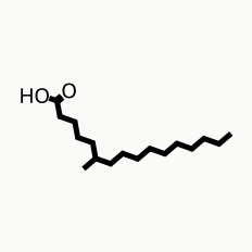 CCCCCCCCCCC(C)CCCCC(=O)O